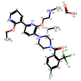 CCOc1ncccc1-c1ccc(N2CCN(C(=O)c3ccc(Cl)cc3C(F)(F)F)C[C@H]2CC)c(OCCNC)n1.O=CO